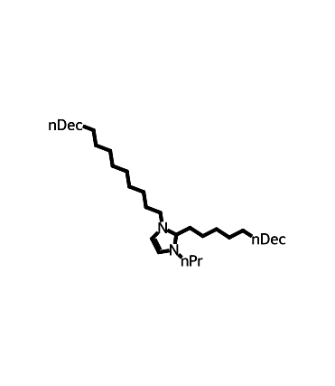 CCCCCCCCCCCCCCCCCCCN1C=CN(CCC)C1CCCCCCCCCCCCCCC